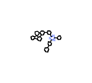 c1ccc(-c2ccc(-c3nc(-c4ccccc4)nc(-c4cccc(-c5cccc(-c6cccc7c6C6(CCCCC6)c6ccccc6-7)c5)c4)n3)cc2)cc1